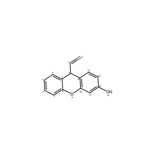 O=CC1c2ccccc2Oc2cc(O)ccc21